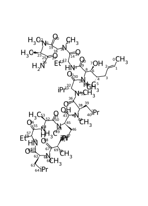 C/C=C/C[C@H](C)[C@H](O)C(C(=O)N[C@H](CC)C(=O)N(C)CC(=O)N(C)[C@H](C)C(N)=O)N(C)C(=O)[C@@H](C(C)C)N(C)C(=O)[C@@H](CC(C)C)N(C)C(O)[C@@H](CC(C)C)N(C)C(=O)[C@H](C)NC(=O)C(CC)NC(=O)[C@H](CC(C)C)N(C)C(=O)[C@H](C)C(C)C